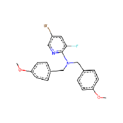 COc1ccc(CN(Cc2ccc(OC)cc2)c2ncc(Br)cc2F)cc1